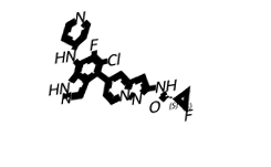 O=C(Nc1cc2cc(-c3c(Cl)c(F)c(Nc4ccncc4)c4[nH]ncc34)ccn2n1)[C@@H]1C[C@@H]1F